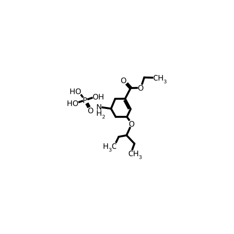 CCOC(=O)C1=CC(OC(CC)CC)CC(N)C1.O=P(O)(O)O